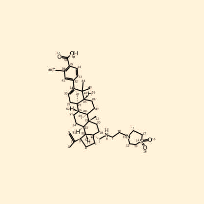 C=C(C)[C@@H]1CC[C@]2(CNCCN3CCS(=O)(=O)CC3)CC[C@]3(C)[C@H](CC[C@@H]4[C@@]5(C)CC=C(c6ccc(C(=O)O)c(F)c6)C(C)(C)[C@@H]5CC[C@]43C)[C@@H]12